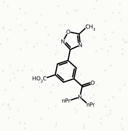 CCCN(CCC)C(=O)c1cc(C(=O)O)cc(-c2noc(C)n2)c1